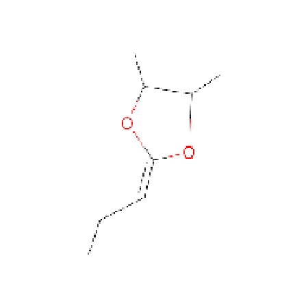 CCC=C1OC(C)C(C)O1